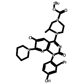 CC(C)c1cc(O)ccc1-n1c(=O)nc(N2CCN(C(=O)OC(C)(C)C)CC2C)c2cc(Cl)c(N3CCCCC3)nc21